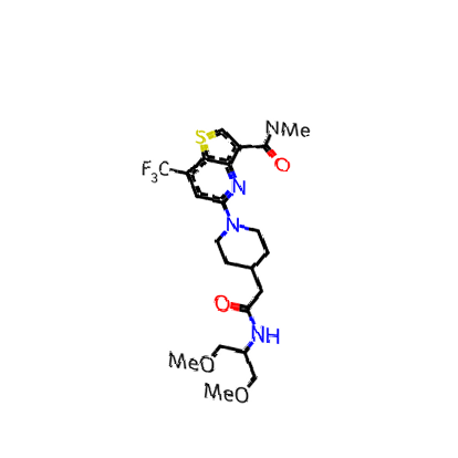 CNC(=O)c1csc2c(C(F)(F)F)cc(N3CCC(CC(=O)NC(COC)COC)CC3)nc12